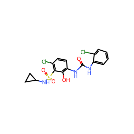 O=C(Nc1ccccc1Cl)Nc1ccc(Cl)c(S(=O)(=O)NC2CC2)c1O